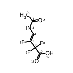 CC(=O)N/C=C(\F)C(F)(F)C(=O)O